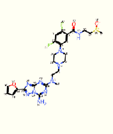 CN(CCN1CCN(c2cc(C(=O)NCC[S+](C)[O-])c(F)cc2F)CC1)c1nc(N)n2nc(-c3ccco3)nc2n1